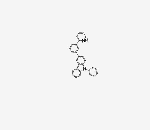 C1=CCNC(c2cccc(-c3ccc4c(c3)c3ccccc3n4-c3ccccc3)c2)=C1